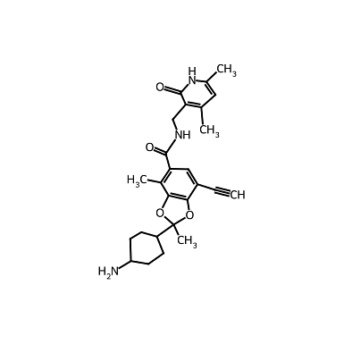 C#Cc1cc(C(=O)NCc2c(C)cc(C)[nH]c2=O)c(C)c2c1OC(C)(C1CCC(N)CC1)O2